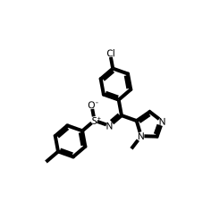 Cc1ccc([S+]([O-])/N=C(\c2ccc(Cl)cc2)c2cncn2C)cc1